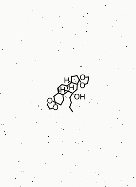 CCCC[C@]1(O)C[C@@]2(C)[C@@H](CCC23OCCO3)[C@@H]2CC=C3CC4(CC[C@]3(C)[C@H]21)OCCO4